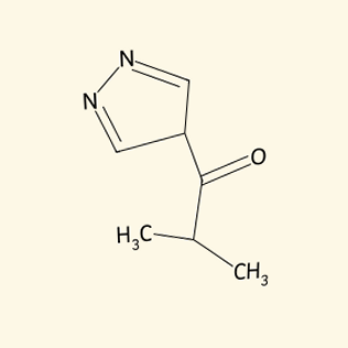 CC(C)C(=O)C1C=NN=C1